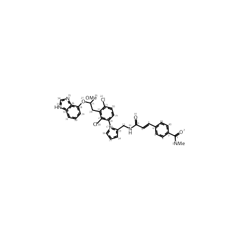 CNC(=O)c1ccc(C=CC(=O)NCc2cccn2-c2ccc(Cl)c(CC(OC)Oc3cccc4[nH]cnc34)c2Cl)cc1